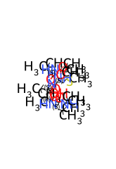 CSCC[C@H](NC(=O)[C@H](CC(C)C)NC(=O)OC(C)(C)C)C(=O)N[C@@H](CC(C)C)[C@@H](O)C[C@@H](C)C(=O)N[C@@H](CC(C)C)C(=O)NC(C)C